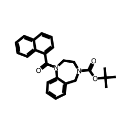 CC(C)(C)OC(=O)N1CCN(C(=O)c2cccc3ccccc23)c2ccccc2C1